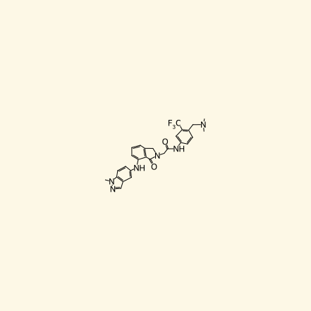 CN(C)Cc1ccc(NC(=O)CN2Cc3cccc(Nc4ccc5c(cnn5C)c4)c3C2=O)cc1C(F)(F)F